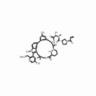 C=CC(=O)N1CC[C@H](C(=O)N(C)[C@H](C(=O)N[C@H]2Cc3cc(O)cc(c3)-c3ccc4c(c3)c(c(-c3cc(C#N)cnc3COC)n4CC)CC(C)(C)COC(=O)[C@@H]3CCCN(N3)C2=O)C(C)C)C1